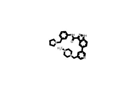 CN1CCN(Cc2cncc(-c3ccc4[nH]nc(C(=O)Nc5cccc(CN6CCCC6)c5)c4c3)c2)CC1